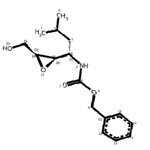 CC(C)C[C@H](NC(=O)OCc1ccccc1)[C@H]1O[C@H]1CO